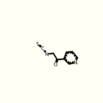 O=C(CN=C=S)c1cccnc1